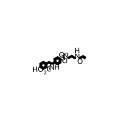 C=CC(=O)NCCCN(C)S(=O)(=O)c1ccc(C(Cc2ccccc2)NC(=O)O)cc1